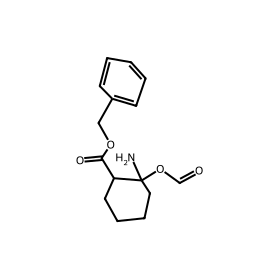 NC1(OC=O)CCCCC1C(=O)OCc1ccccc1